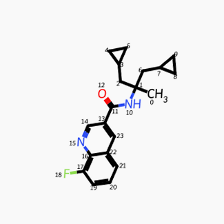 CC(CC1CC1)(CC1CC1)NC(=O)c1cnc2c(F)cccc2c1